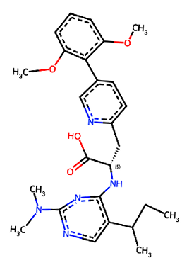 CCC(C)c1cnc(N(C)C)nc1N[C@@H](Cc1ccc(-c2c(OC)cccc2OC)cn1)C(=O)O